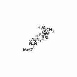 COCc1ncnc(N2CCN(S(=O)(=O)ON(C)C)CC2)n1